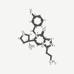 CCCc1nnc2c(=O)n(Cc3cccc(F)c3)c([C@@]3(O)CCOC3)cn12